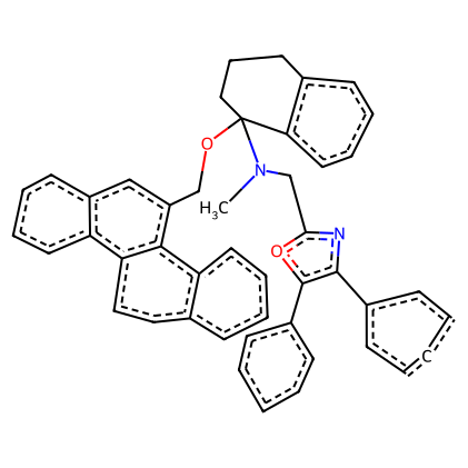 CN(Cc1nc(-c2ccccc2)c(-c2ccccc2)o1)C1(OCc2cc3ccccc3c3ccc4ccccc4c23)CCCc2ccccc21